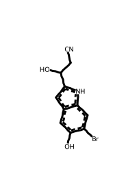 N#CCC(O)c1cc2cc(O)c(Br)cc2[nH]1